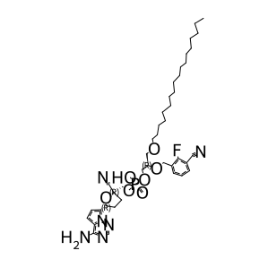 CCCCCCCCCCCCCCCCCCOC[C@H](COP(=O)(O)OC[C@]1(C#N)CC[C@H](c2ccc3c(N)ncnn23)O1)OCc1cccc(C#N)c1F